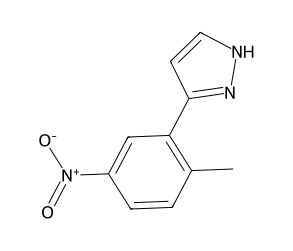 Cc1ccc([N+](=O)[O-])cc1-c1cc[nH]n1